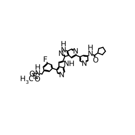 CS(=O)(=O)NCc1cc(F)cc(-c2cncc3[nH]c(-c4n[nH]c5cnc(-c6cncc(NC(=O)C7CCCC7)c6)cc45)cc23)c1